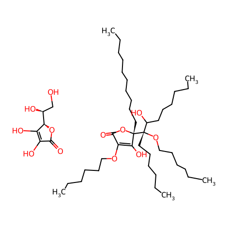 CCCCCCCCCC[C@]1([C@@](CCCCCC)(OCCCCCC)C(O)CCCCCC)OC(=O)C(OCCCCCC)=C1O.O=C1O[C@H]([C@@H](O)CO)C(O)=C1O